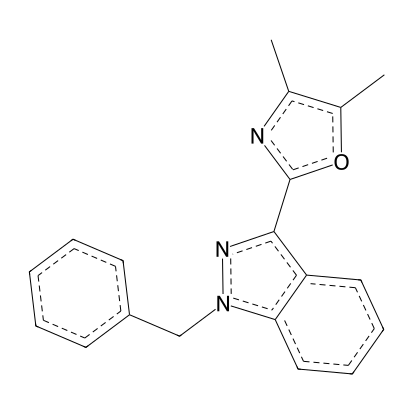 Cc1nc(-c2nn(Cc3ccccc3)c3ccccc23)oc1C